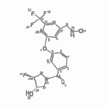 O=C(c1cccc(Oc2cc(CNCl)cc(C(F)(F)F)n2)c1)N1C[C@H](O)[C@@H](F)C1